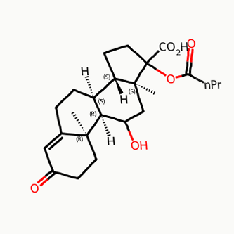 CCCC(=O)OC1(C(=O)O)CC[C@H]2[C@@H]3CCC4=CC(=O)CC[C@]4(C)[C@@H]3C(O)C[C@@]21C